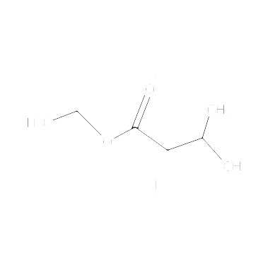 CCOC(=O)[C@@H](F)C(C)C